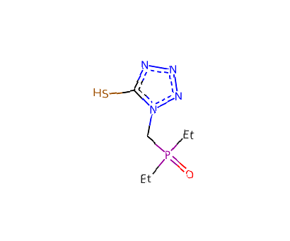 CCP(=O)(CC)Cn1nnnc1S